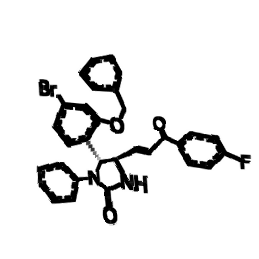 O=C(/C=C/[C@H]1NC(=O)N(c2ccccc2)[C@@H]1c1ccc(Br)cc1OCc1ccccc1)c1ccc(F)cc1